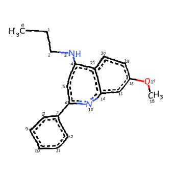 CCCNc1cc(-c2ccccc2)nc2cc(OC)ccc12